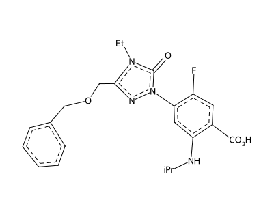 CCn1c(COCc2ccccc2)nn(-c2cc(NC(C)C)c(C(=O)O)cc2F)c1=O